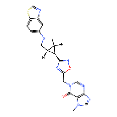 Cn1cnc2ncn(Cc3nc([C@H]4[C@@H]5CN(c6ccc7scnc7c6)C[C@@H]54)no3)c(=O)c21